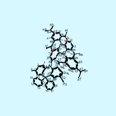 Cc1ccc2c(c1)C(c1ccccc1)(c1ccccc1)c1cc(C)ccc1N2c1ccc2c(c1)B(c1c(C(C)C)cc(C(C)C)cc1C(C)C)c1ccccc1B2c1c(C(C)C)cc(C(C)C)cc1C(C)C